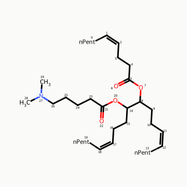 CCCCC/C=C\CCC(=O)OC(CC/C=C\CCCCC)C(CC/C=C\CCCCC)OC(=O)CCCCN(C)C